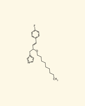 CCCCCCCCCOC(C=Cc1ccc(F)cc1)Cn1ccnc1